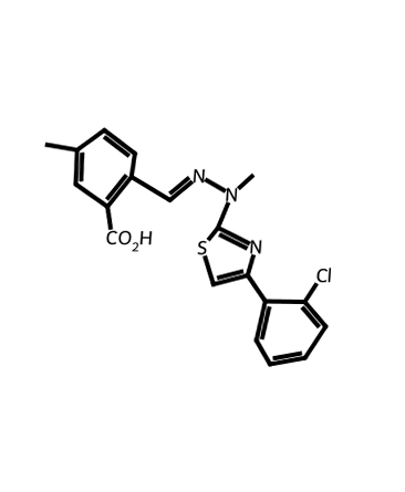 Cc1ccc(/C=N/N(C)c2nc(-c3ccccc3Cl)cs2)c(C(=O)O)c1